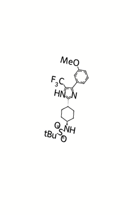 COc1cccc(-c2nc([C@H]3CC[C@H](NS(=O)(=O)C(C)(C)C)CC3)[nH]c2C(F)(F)F)c1